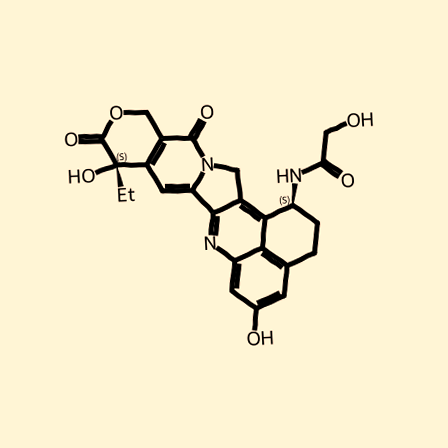 CC[C@@]1(O)C(=O)OCc2c1cc1n(c2=O)Cc2c-1nc1cc(O)cc3c1c2[C@@H](NC(=O)CO)CC3